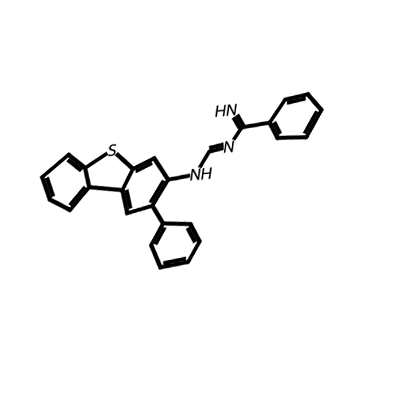 N=C(/N=C/Nc1cc2sc3ccccc3c2cc1-c1ccccc1)c1ccccc1